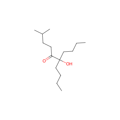 CCCCC(O)(CCCC)C(=O)CCC(C)C